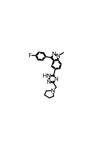 Cn1nc(-c2ccc(F)cc2)c2cc(-c3nc(CN4CCCC4)n[nH]3)ccc21